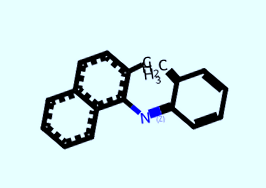 C=C1C=CC=C/C1=N/c1c(C)ccc2ccccc12